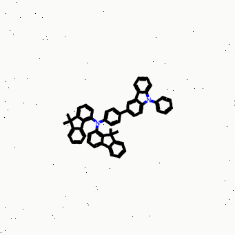 CC1(C)c2ccccc2-c2c(N(c3ccc(-c4ccc5c(c4)c4ccccc4n5-c4ccccc4)cc3)c3cccc4c3C(C)(C)c3ccccc3-4)cccc21